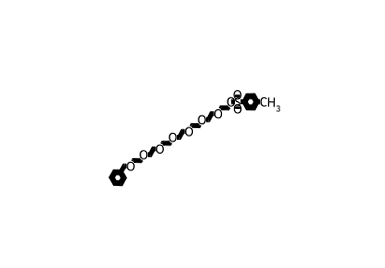 Cc1ccc(S(=O)(=O)OCCOCCOCCOCCOCCOCCOCCOCc2ccccc2)cc1